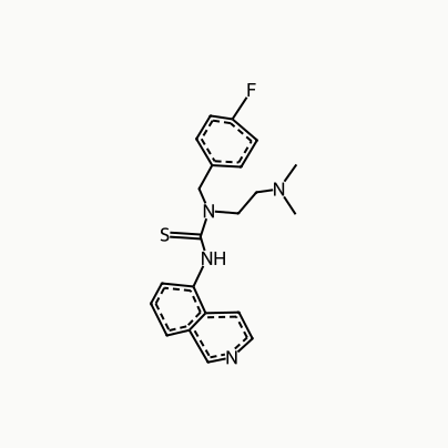 CN(C)CCN(Cc1ccc(F)cc1)C(=S)Nc1cccc2cnccc12